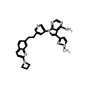 Cn1ccc(-c2cn(-c3cncc(CCc4ccc5ccc(N6CCC6)nc5c4)c3)c3ncnc(N)c23)n1